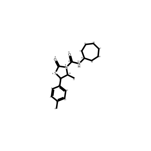 Cc1ccc(C2SC(=O)N(C(=O)NC3CCCCCC3)C2C)cc1